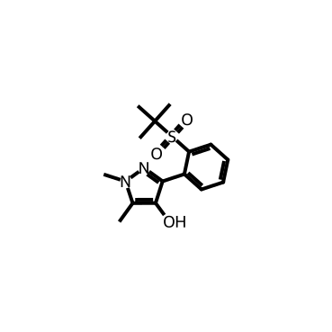 Cc1c(O)c(-c2ccccc2S(=O)(=O)C(C)(C)C)nn1C